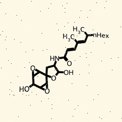 CCCCCCC(C)/C=C(C)/C=C/C(=O)NC1CC2(OC1O)C1OC1C(O)C1OC12